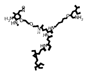 C=CC(CCC(=C)NC(CCC(=C)NCCOCCOC1CC(CN=O)C(C)C(N)C1NC)C(=C)NCCCCCOC(CN)CC(CC)C(C)C)NC(=C)CCC1(CC)CC1CCC(CC)(CC)CC